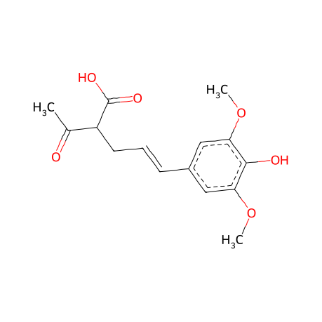 COc1cc(C=CCC(C(C)=O)C(=O)O)cc(OC)c1O